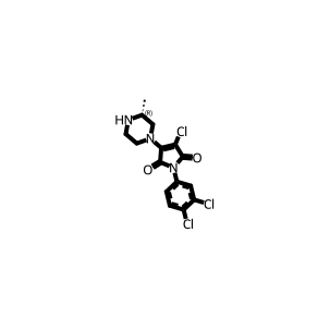 C[C@@H]1CN(C2=C(Cl)C(=O)N(c3ccc(Cl)c(Cl)c3)C2=O)CCN1